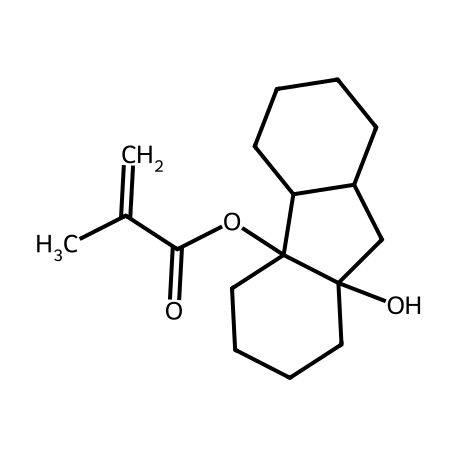 C=C(C)C(=O)OC12CCCCC1(O)CC1CCCCC12